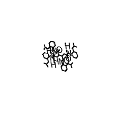 CC(C)CC1CCCCC1NC(=O)CC(C(=O)NC1CCCCC1CC(C)C)C(CC(=O)NC1CCCCC1CC(C)C)C(=O)NC1CCCCC1CC(C)C